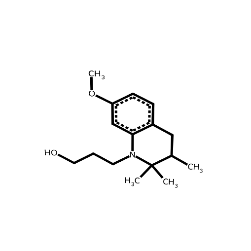 COc1ccc2c(c1)N(CCCO)C(C)(C)C(C)C2